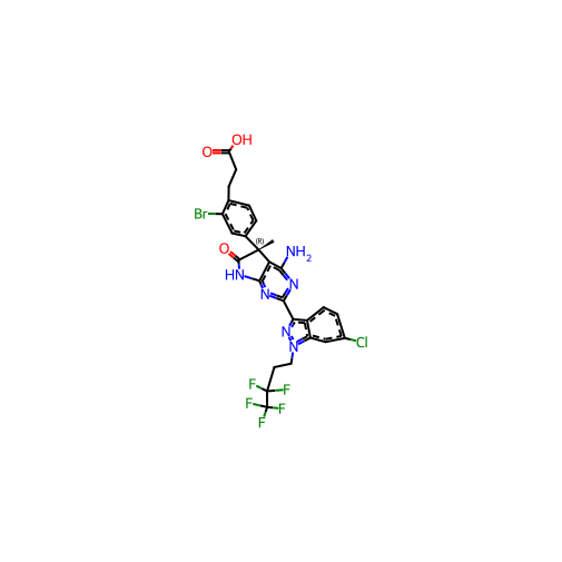 C[C@]1(c2ccc(CCC(=O)O)c(Br)c2)C(=O)Nc2nc(-c3nn(CCC(F)(F)C(F)(F)F)c4cc(Cl)ccc34)nc(N)c21